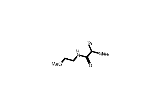 CNC(C(=O)NCCOC)C(C)C